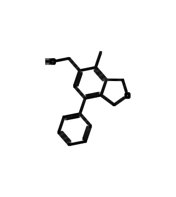 Cc1c(CO)cc(-c2ccccc2)c2c1COC2